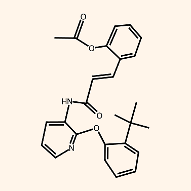 CC(=O)Oc1ccccc1C=CC(=O)Nc1cccnc1Oc1ccccc1C(C)(C)C